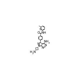 Cc1cccc(NC(=O)c2ccc(-c3nn([C@H]4C[C@@H](N)C4)c4ncnc(N)c34)cc2)n1